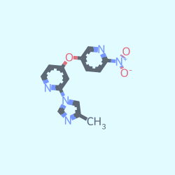 Cc1cn(-c2cc(Oc3ccc([N+](=O)[O-])nc3)ccn2)cn1